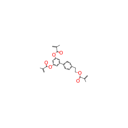 C=C(C)C(=O)OCCc1ccc(-c2cc(OC(=O)C(=C)C)cc(OC(=O)C(=C)C)c2)cc1